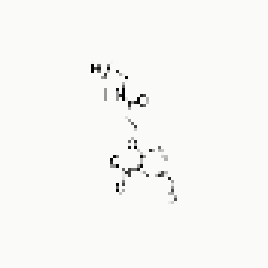 CCNC(=O)CCOc1ccc(C=O)cc1[N+](=O)[O-]